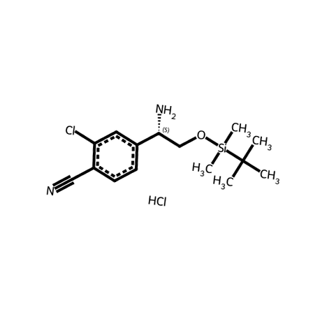 CC(C)(C)[Si](C)(C)OC[C@@H](N)c1ccc(C#N)c(Cl)c1.Cl